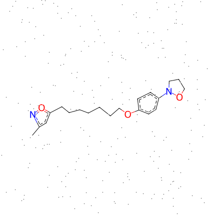 Cc1cc(CCCCCCCOc2ccc(N3CCCO3)cc2)on1